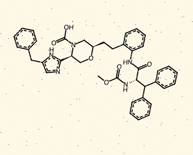 COC(=O)N[C@H](C(=O)Nc1ccccc1CC[C@@H]1CN(C(=O)O)[C@H](c2ncc(Cc3ccccc3)[nH]2)CO1)C(c1ccccc1)c1ccccc1